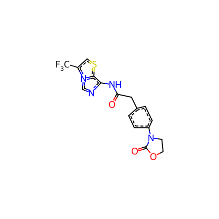 O=C(Cc1ccc(N2CCOC2=O)cc1)Nc1ncn2c(C(F)(F)F)csc12